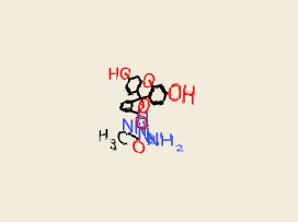 C[C@H](N)C(=O)NN.O=C1OC2(c3ccc(O)cc3Oc3cc(O)ccc32)c2ccccc21